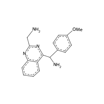 COc1ccc(C(N)c2nc(CN)nc3ccccc23)cc1